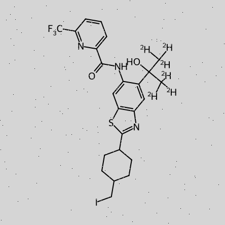 [2H]C([2H])([2H])C(O)(c1cc2nc(C3CCC(CI)CC3)sc2cc1NC(=O)c1cccc(C(F)(F)F)n1)C([2H])([2H])[2H]